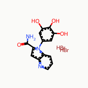 Br.Br.NC(=O)c1cc2ncccc2n1-c1cc(O)c(O)c(O)c1